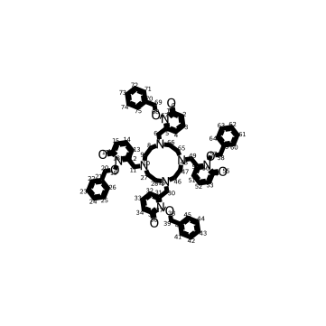 O=c1cccc(CN2CCN(Cc3cccc(=O)n3OCc3ccccc3)CCN(Cc3cccc(=O)n3OCc3ccccc3)CCN(Cc3cccc(=O)n3OCc3ccccc3)CC2)n1OCc1ccccc1